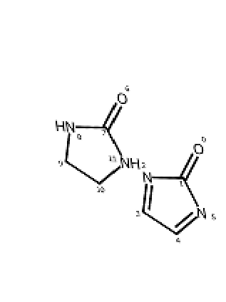 O=C1N=CC=N1.O=C1NCCN1